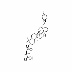 CN1CCN(CC[C@]23CCC[C@@H]2[C@H]2CCC4[C@@]5(C)CC[C@H](OC(=O)CC(C)(C)C(=O)O)C(C)(C)C5CC[C@@]4(C)[C@]2(C)CC3)CC1